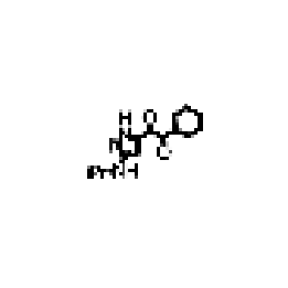 CC(C)Nc1cc(C(=O)C(=O)C2CCCCC2)[nH]n1